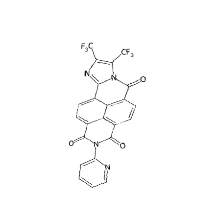 O=C1c2ccc3c(=O)n4c(C(F)(F)F)c(C(F)(F)F)nc4c4ccc(c2c34)C(=O)N1c1ccccn1